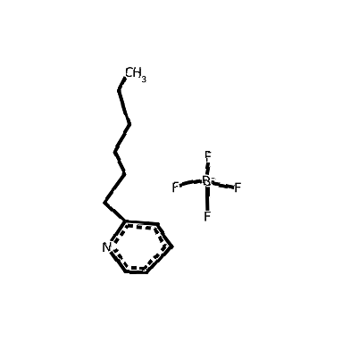 CCCCCCc1ccccn1.F[B-](F)(F)F